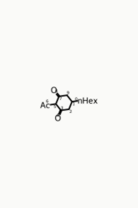 CCCCCCC1CC(=O)C(C(C)=O)C(=O)C1